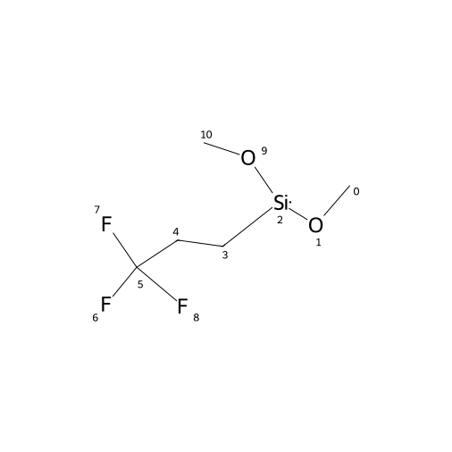 CO[Si](CCC(F)(F)F)OC